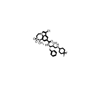 CCc1cn2c3c(cc(C(=O)N[C@@H](Cc4ccccc4)[C@H](O)CNC4CCC(F)(F)CC4)cc13)N(C)S(=O)(=O)CC2